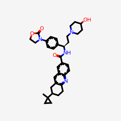 CC1(C2CCc3nc4ccc(C(=O)N[C@H](CCN5CCC(O)CC5)c5ccc(N6CCOC6=O)cc5)cc4cc3C2)CC1